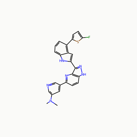 CN(C)c1cncc(-c2ccc3[nH]nc(-c4cc5c(-c6ccc(F)s6)cccc5[nH]4)c3n2)c1